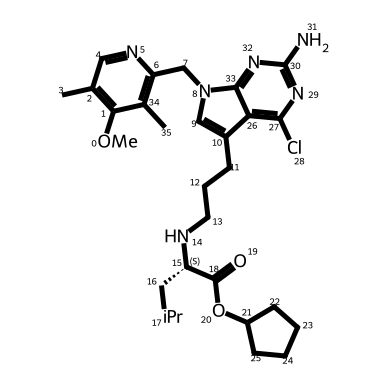 COc1c(C)cnc(Cn2cc(CCCN[C@@H](CC(C)C)C(=O)OC3CCCC3)c3c(Cl)nc(N)nc32)c1C